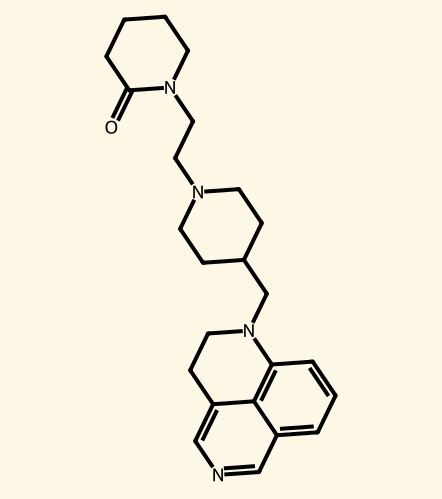 O=C1CCCCN1CCN1CCC(CN2CCc3cncc4cccc2c34)CC1